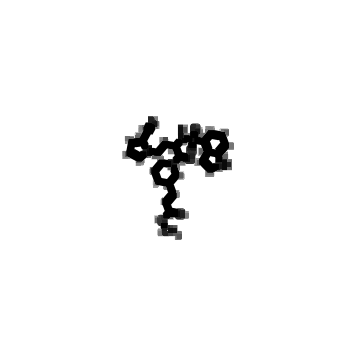 COC(=O)/C=C/C1CCCN(C(=O)C(CCn2cccc2C#N)NS(=O)(=O)c2cccc3[nH]ccc23)C1